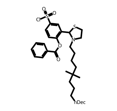 CCCCCCCCCCCCCC(C)(C)CCCCN1CCSC1c1cc(S(=O)(=O)Cl)ccc1OC(=O)c1ccccc1